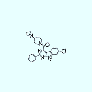 Cn1c2cc(Cl)ccc2c2c(C(=O)N3CCC(N4CCC4)CC3)nc(-c3ccccc3)nc21